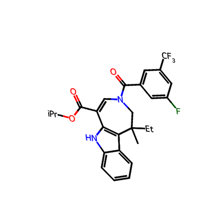 CCC1(C)CN(C(=O)c2cc(F)cc(C(F)(F)F)c2)C=C(C(=O)OC(C)C)c2[nH]c3ccccc3c21